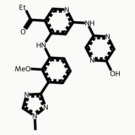 CCC(=O)c1cnc(Nc2cnc(O)cn2)cc1Nc1cccc(-c2ncn(C)n2)c1OC